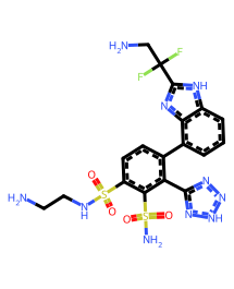 NCCNS(=O)(=O)c1ccc(-c2cccc3[nH]c(C(F)(F)CN)nc23)c(-c2nn[nH]n2)c1S(N)(=O)=O